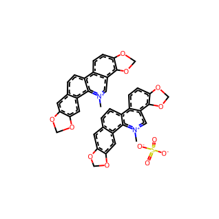 C[n+]1cc2c3c(ccc2c2ccc4cc5c(cc4c21)OCO5)OCO3.C[n+]1cc2c3c(ccc2c2ccc4cc5c(cc4c21)OCO5)OCO3.O=S(=O)([O-])[O-]